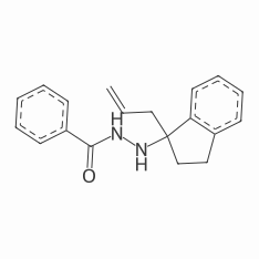 C=CCC1(NNC(=O)c2ccccc2)CCc2ccccc21